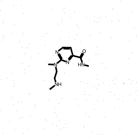 CNCCN(C)c1nccc(C(=O)NC)n1